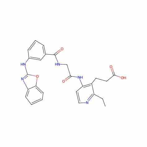 CCc1nccc(NC(=O)CNC(=O)c2cccc(Nc3nc4ccccc4o3)c2)c1CCC(=O)O